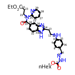 CCCCCCOC(=O)NN=Cc1ccc(NCCc2nc3cc(C(=O)N(CCC(=O)OCC)c4ccccn4)ccc3[nH]2)cc1